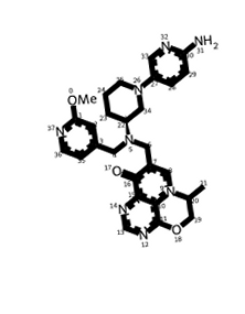 COc1cc(CN(Cc2cn3c4c(ncnc4c2=O)OCC3C)[C@H]2CCCN(c3ccc(N)nc3)C2)ccn1